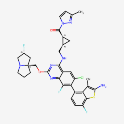 Cc1ccn(C(=O)[C@H]2C[C@H]2CNc2nc(OC[C@@]34CCCN3C[C@H](F)C4)nc3c(F)c(-c4ccc(F)c5sc(N)c(C#N)c45)c(Cl)cc23)n1